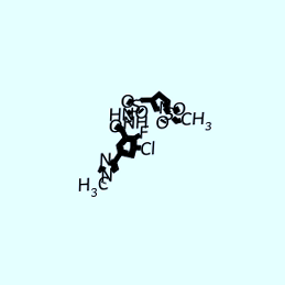 CCS(=O)(=O)N1CCC(CS(=O)(=O)NNC(=O)c2cc(-c3cn(C)cn3)cc(Cl)c2F)C1